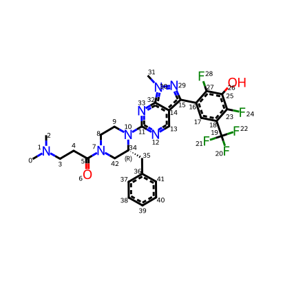 CN(C)CCC(=O)N1CCN(c2ncc3c(-c4cc(C(F)(F)F)c(F)c(O)c4F)nn(C)c3n2)[C@H](Cc2ccccc2)C1